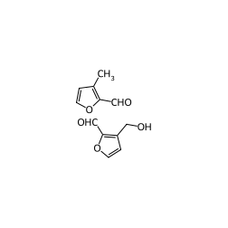 Cc1ccoc1C=O.O=Cc1occc1CO